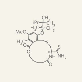 COc1cc(O[Si](C)(C)C(C)(C)C(C)C)c2c(c1C)C(=O)OCCCCC(=O)N[C@@H](C(N)=S)CSC2